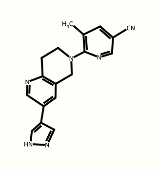 Cc1cc(C#N)cnc1N1CCc2ncc(-c3cn[nH]c3)cc2C1